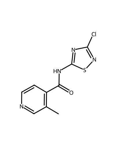 Cc1cnccc1C(=O)Nc1nc(Cl)ns1